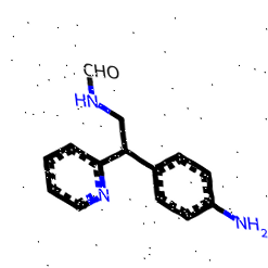 Nc1ccc(C(CNC=O)c2ccccn2)cc1